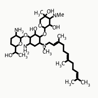 CNC1C(O)C(OC2C(O)C(OC3OC(C(C)O)CCC3N)C(N)CC2N(C)C/C=C(\C)CC/C=C(\C)CCC=C(C)C)OCC1(C)O